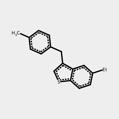 CCc1ccc2scc(Cc3ccc(C)cc3)c2c1